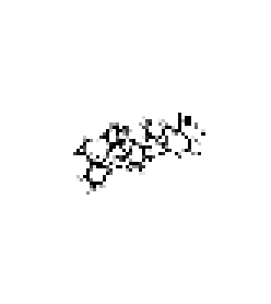 N#CC1(c2[nH]ncc2-c2ccccc2C2CC2)C=CC=C(C(=O)N2CCCCC(N)C2)C1